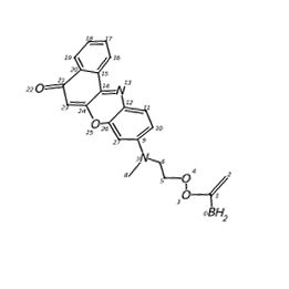 BC(=C)OOCCN(C)c1ccc2nc3c4ccccc4c(=O)cc-3oc2c1